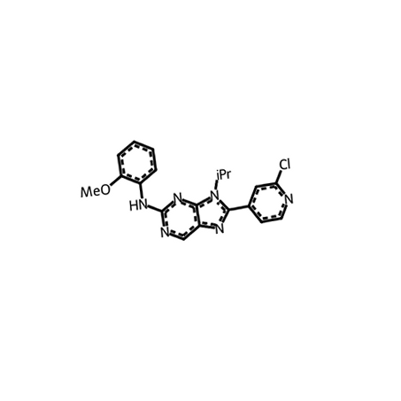 COc1ccccc1Nc1ncc2nc(-c3ccnc(Cl)c3)n(C(C)C)c2n1